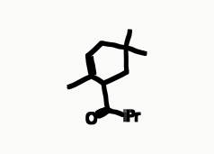 CC1=CCC(C)(C)CC1C(=O)C(C)C